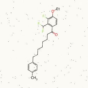 CCOc1ccc(C(=O)CCCCCCCc2ccc(C)cc2)c(C(F)F)c1F